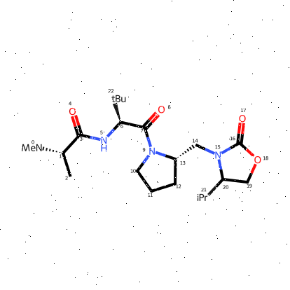 CN[C@@H](C)C(=O)N[C@H](C(=O)N1CCC[C@H]1CN1C(=O)OCC1C(C)C)C(C)(C)C